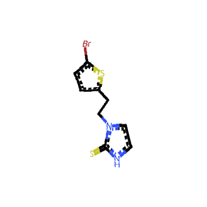 S=c1[nH]ccn1CCc1ccc(Br)s1